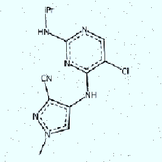 CC(C)Nc1ncc(Cl)c(Nc2cn(C)nc2C#N)n1